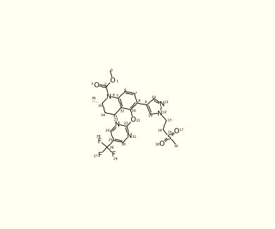 COC(=O)N1c2ccc(-c3cnn(CCS(C)(=O)=O)c3)c(Oc3ncc(C(F)(F)F)cn3)c2CC[C@@H]1C